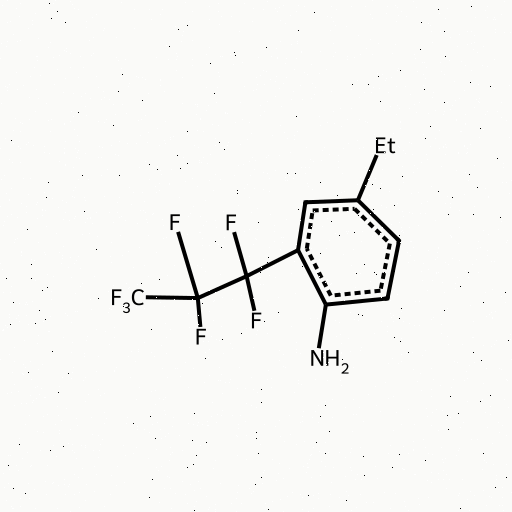 CCc1ccc(N)c(C(F)(F)C(F)(F)C(F)(F)F)c1